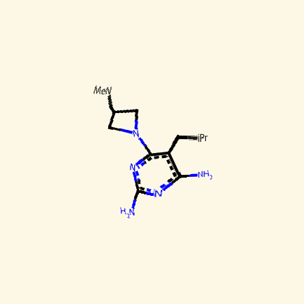 CNC1CN(c2nc(N)nc(N)c2CC(C)C)C1